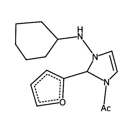 CC(=O)N1C=CN(NC2CCCCC2)C1c1ccco1